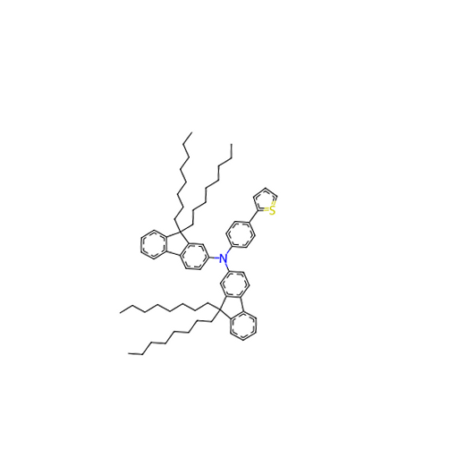 CCCCCCCCC1(CCCCCCCC)c2ccccc2-c2ccc(N(c3ccc(-c4cccs4)cc3)c3ccc4c(c3)C(CCCCCCCC)(CCCCCCCC)c3ccccc3-4)cc21